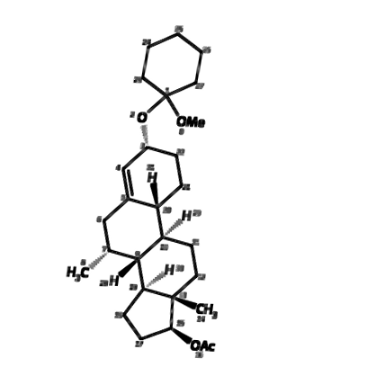 COC1(O[C@H]2C=C3C[C@@H](C)[C@@H]4[C@H](CC[C@]5(C)[C@@H](OC(C)=O)CC[C@@H]45)[C@H]3CC2)CCCCC1